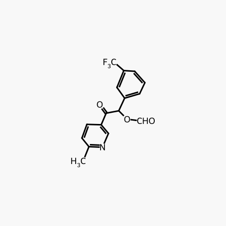 Cc1ccc(C(=O)C(OC=O)c2cccc(C(F)(F)F)c2)cn1